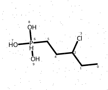 CCC(Cl)CC[PH](O)(O)O